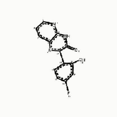 O=c1[nH]c2ncccc2nc1-c1ccc(F)cc1O